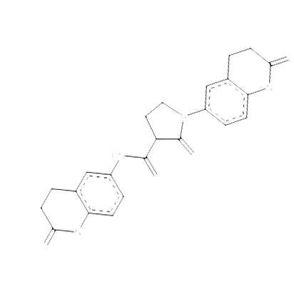 O=C1CCc2cc(NC(=O)C3CCN(c4ccc5c(c4)CCC(=O)N5)C3=O)ccc2N1